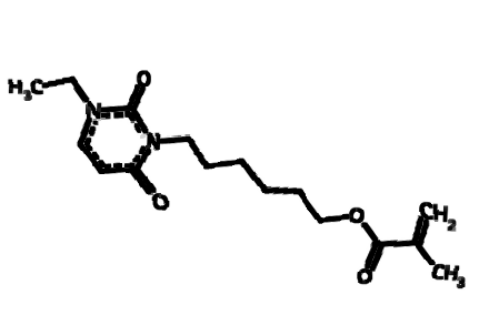 C=C(C)C(=O)OCCCCCCn1c(=O)ccn(CC)c1=O